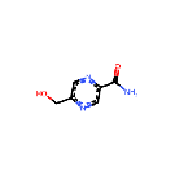 NC(=O)c1cnc(CO)cn1